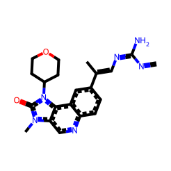 C=N/C(N)=N\C=C(/C)c1ccc2ncc3c(c2c1)n(C1CCOCC1)c(=O)n3C